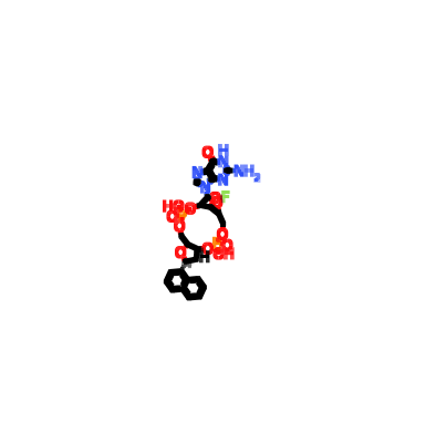 Nc1nc2c(ncn2C2OC3COP(=O)(O)O[C@@H]4C[C@H](c5cccc6ccccc56)OC4COP(=O)(O)OC2C3OF)c(=O)[nH]1